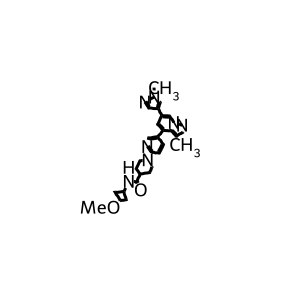 COC1CC(NC(=O)C2CCN(c3ccc(-c4cc(-c5cnn(C)c5)cn5ncc(C)c45)cn3)CC2)C1